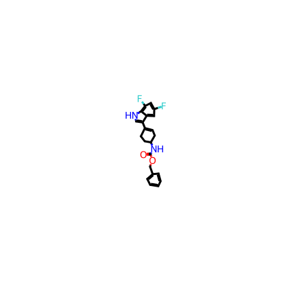 O=C(NC1CC=C(c2c[nH]c3c(F)cc(F)cc23)CC1)OCc1ccccc1